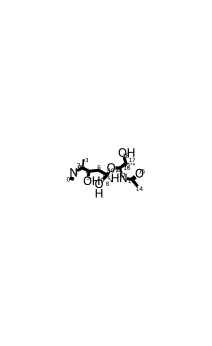 C=N[C@@H](C)C(O)C[C@](C)(O)O[C@H](NC(C)=O)[C@@H](C)O